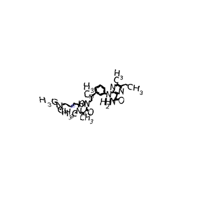 CCc1nc(C(N)=O)c(Nc2cccc([C@@H](C)CNC(=O)[C@H](C)N(C)C(=O)/C=C/CN(C)C)c2)nc1C